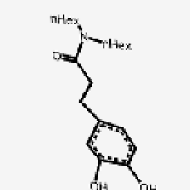 CCCCCCN(CCCCCC)C(=O)CCc1ccc(O)c(O)c1